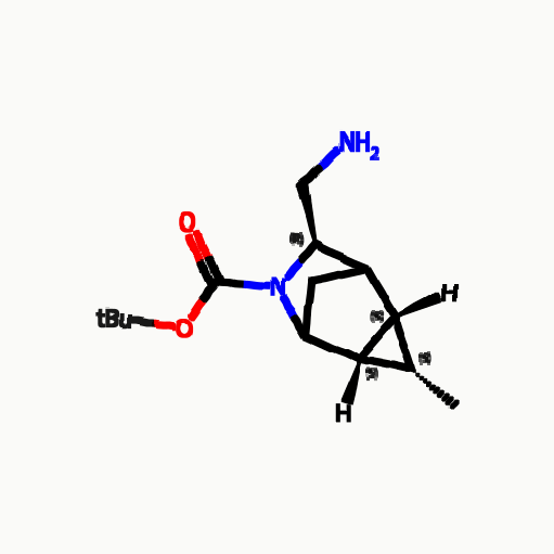 C[C@H]1[C@H]2C3CC([C@@H]12)N(C(=O)OC(C)(C)C)[C@H]3CN